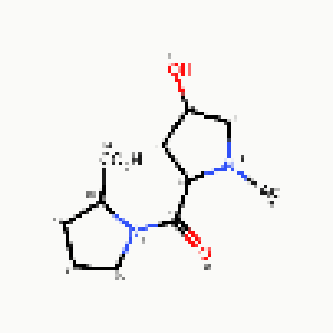 CC(=O)N1CC(O)CC1C(=O)N1CCCC1C(=O)O